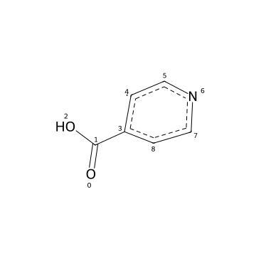 O=C(O)c1[c]cncc1